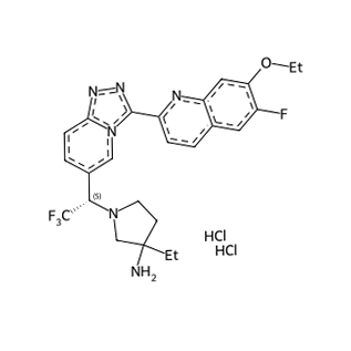 CCOc1cc2nc(-c3nnc4ccc([C@H](N5CCC(N)(CC)C5)C(F)(F)F)cn34)ccc2cc1F.Cl.Cl